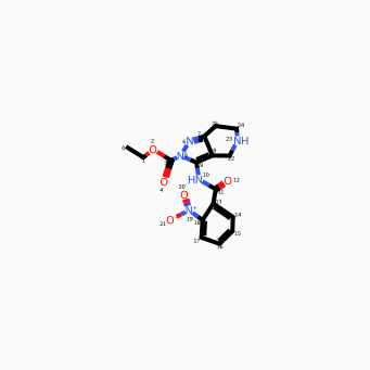 CCOC(=O)n1nc2c(c1NC(=O)c1ccccc1[N+](=O)[O-])CNCC2